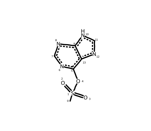 CS(=O)(=O)Oc1ncnc2[nH]cnc12